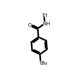 CCNC(=O)c1ccc(C(C)(C)C)cc1